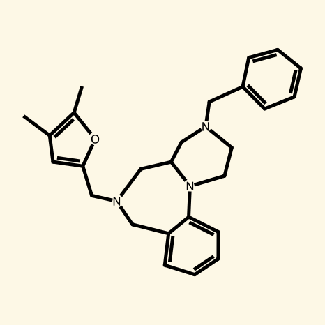 Cc1cc(CN2Cc3ccccc3N3CCN(Cc4ccccc4)CC3C2)oc1C